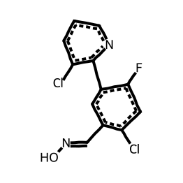 ON=Cc1cc(-c2ncccc2Cl)c(F)cc1Cl